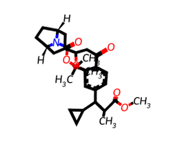 COC(=O)C(C)C(c1ccc2c(c1)OC(C1C[C@H]3CC[C@@H](C1)N3C(=O)OC(C)(C)C)CC2=O)C1CC1